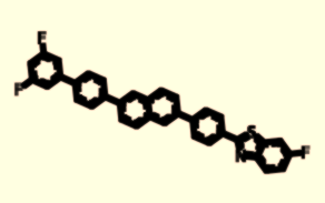 Fc1cc(F)cc(-c2ccc(-c3ccc4cc(-c5ccc(-c6nc7ccc(F)cc7s6)cc5)ccc4c3)cc2)c1